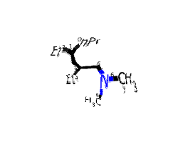 CCCC(CC)C(CC)CN(C)C